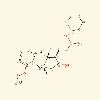 CC(CC[C@@H]1[C@H]2Cc3cccc(OCC(=O)O)c3C[C@H]2C[C@H]1O)OC1CCCCO1